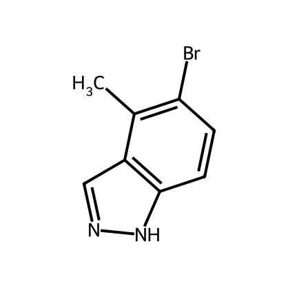 Cc1c(Br)ccc2[nH]ncc12